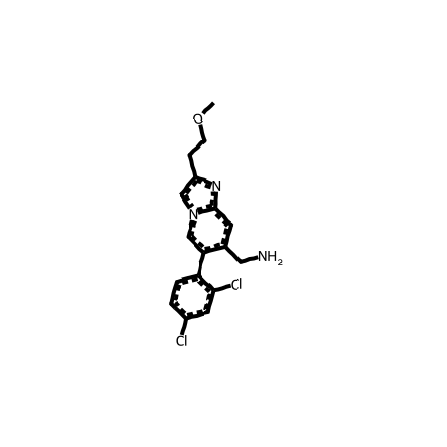 COCCc1cn2cc(-c3ccc(Cl)cc3Cl)c(CN)cc2n1